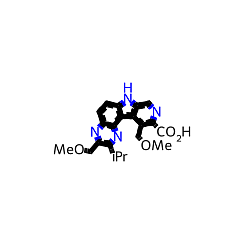 COCc1nc2ccc3[nH]c4cnc(C(=O)O)c(COC)c4c3c2nc1C(C)C